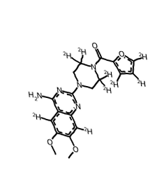 [2H]c1oc(C(=O)N2C([2H])([2H])CN(c3nc(N)c4c([2H])c(OC)c(OC)c([2H])c4n3)CC2([2H])[2H])c([2H])c1[2H]